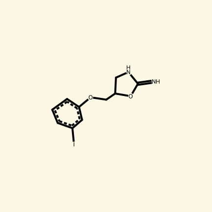 N=C1NCC(COc2cccc(I)c2)O1